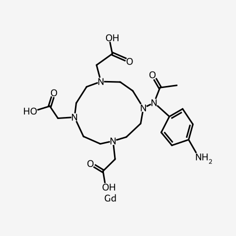 CC(=O)N(c1ccc(N)cc1)N1CCN(CC(=O)O)CCN(CC(=O)O)CCN(CC(=O)O)CC1.[Gd]